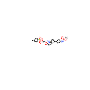 Cc1ccc(S(=O)(=O)OCCOc2ccc3cc(-c4ccc(N(C)C(=O)OC(C)(C)C)cc4)ccc3n2)cc1